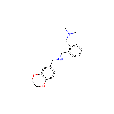 CN(C)Cc1ccccc1CNCc1ccc2c(c1)OCCO2